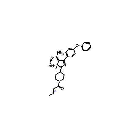 C/C=C/C(=O)N1CCC(N2N=C(c3ccc(Oc4ccccc4)cc3)C3=C(N)N=CNC32C)CC1